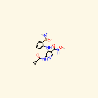 CONC(=O)c1cnc(NC(=O)C2CC2)cc1Nc1ccccc1[S+]([O-])N(C)C